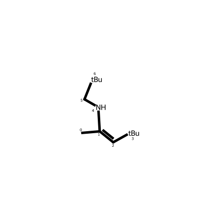 CC(=CC(C)(C)C)NCC(C)(C)C